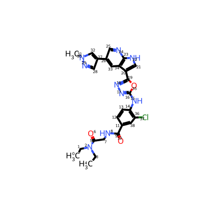 CCN(CC)C(=O)CNC(=O)c1ccc(Nc2nnc(-c3c[nH]c4ncc(-c5cnn(C)c5)cc34)o2)c(Cl)c1